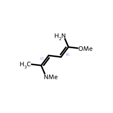 CN/C(C)=C\C=C(/N)OC